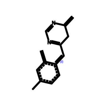 C=C1CC(/C=c2/ccc(C)cc2=C)=NC=N1